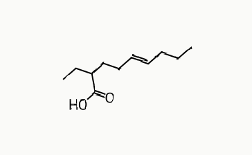 CCCC=CCCC(CC)C(=O)O